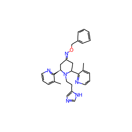 Cc1cccnc1C1CC(=NOCc2ccccc2)C[C@H](c2ncccc2C)N1CCc1cnc[nH]1